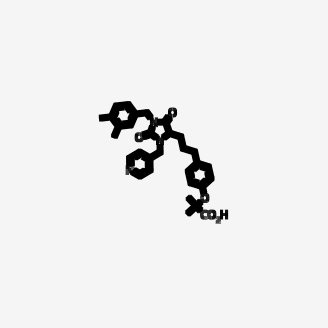 Cc1ccc(CN2C(=O)C(CCCc3ccc(OC(C)(C)C(=O)O)cc3)N(Cc3ccncc3)C2=O)cc1C